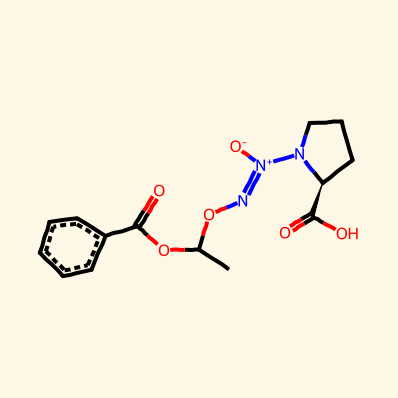 CC(O/N=[N+](\[O-])N1CCC[C@H]1C(=O)O)OC(=O)c1ccccc1